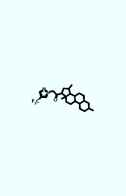 CC1CCC2C(CCC3C2CCC2(C)C(C(=O)Cn4cc(C(F)(F)F)cn4)CC(C)C32)C1